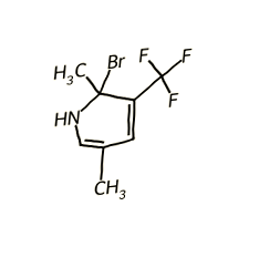 CC1=CNC(C)(Br)C(C(F)(F)F)=C1